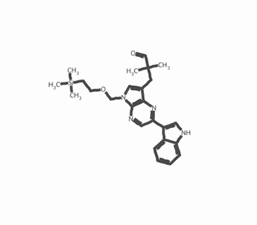 CC(C)(C=O)Cc1cn(COCC[Si](C)(C)C)c2ncc(-c3c[nH]c4ccccc34)nc12